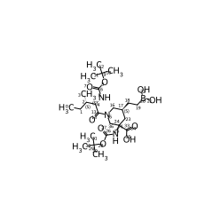 CC[C@H](C)[C@H](NC(=O)OC(C)(C)C)C(=O)N1C[C@@H](CCB(O)O)C[C@](NC(=O)OC(C)(C)C)(C(=O)O)C1